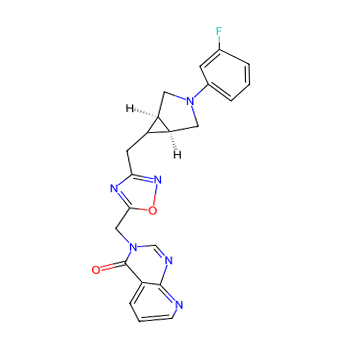 O=c1c2cccnc2ncn1Cc1nc(CC2[C@H]3CN(c4cccc(F)c4)C[C@@H]23)no1